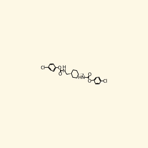 O=C(NC[C@H]1CC[C@H](CNC(=O)Oc2ccc(Cl)cc2)CC1)Oc1ccc(Cl)cc1